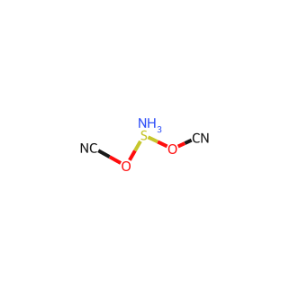 N.N#COSOC#N